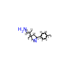 Cc1ccc(C2=NCC(C)(C(C)CN)C2)cc1